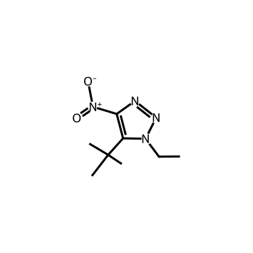 CCn1nnc([N+](=O)[O-])c1C(C)(C)C